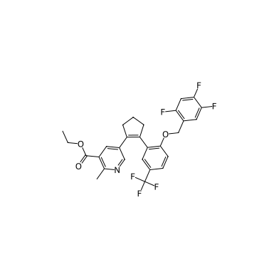 CCOC(=O)c1cc(C2=C(c3cc(C(F)(F)F)ccc3OCc3cc(F)c(F)cc3F)CCC2)cnc1C